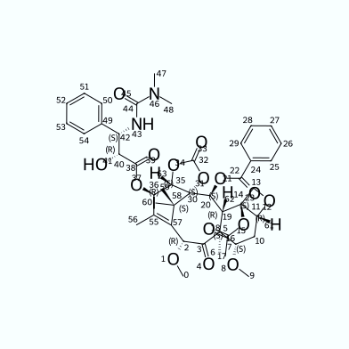 CO[C@H]1C(=O)[C@]2(C)[C@@H](OC)C[C@H]3OC[C@@]3(OC(C)=O)[C@H]2[C@H](OC(=O)c2ccccc2)[C@]23OC(=O)O[C@H]2[C@H](OC(=O)[C@H](O)[C@@H](NC(=O)N(C)C)c2ccccc2)C(C)=C1[C@]3(C)I